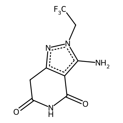 Nc1c2c(nn1CC(F)(F)F)CC(=O)NC2=O